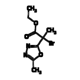 CCOC(=O)C(C)(Br)c1nnc(C)o1